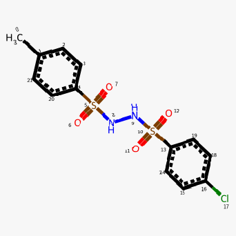 Cc1ccc(S(=O)(=O)NNS(=O)(=O)c2ccc(Cl)cc2)cc1